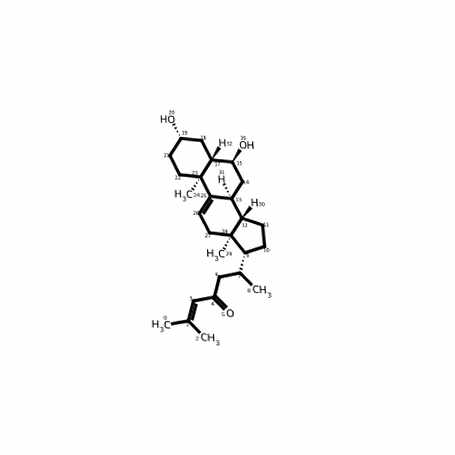 CC(C)=CC(=O)CC(C)[C@H]1CC[C@H]2[C@@H]3C[C@H](O)[C@H]4C[C@@H](O)CC[C@]4(C)C3=CC[C@]12C